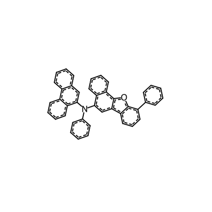 c1ccc(-c2cccc3c2oc2c4ccccc4c(N(c4ccccc4)c4cc5ccccc5c5ccccc45)cc32)cc1